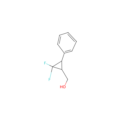 OCC1C(c2ccccc2)C1(F)F